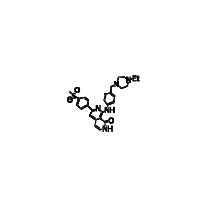 CCN1CCN(Cc2ccc(Nc3nc(-c4ccc(S(C)(=O)=O)cc4)cc4cc[nH]c(=O)c34)cc2)CC1